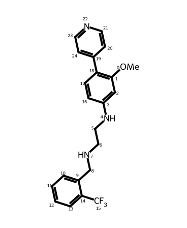 COc1cc(NCCNCc2ccccc2C(F)(F)F)ccc1-c1ccncc1